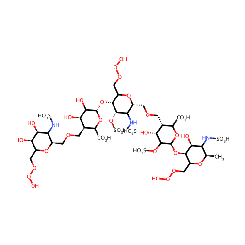 C[C@H]1OC(COOO)[C@@H](O[C@@H]2OC(C(=O)O)[C@@H](COC[C@H]3OC(COOO)[C@@H](O[C@@H]4OC(C(=O)O)[C@@H](COC[C@H]5OC(COOO)[C@@H](O)[C@@H](O)C5NS(=O)(=O)O)[C@@H](O)C4O)[C@@H](OS(=O)(=O)O)C3NS(=O)(=O)O)[C@@H](O)C2OS(=O)(=O)O)[C@@H](O)C1NS(=O)(=O)O